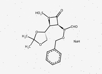 CC1(C)OC[C@@H]([C@@H]2[C@H](N(C=O)OCc3ccccc3)C(=O)N2S(=O)(=O)O)O1.[NaH]